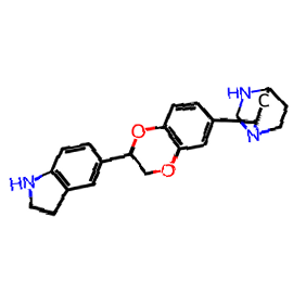 c1cc2c(cc1C1COc3cc(C4CC5CCN4CN5)ccc3O1)CCN2